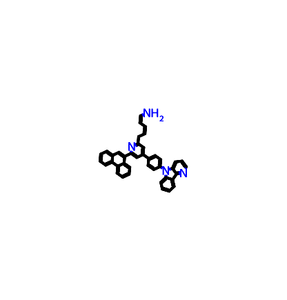 N/C=C\C=C/Cc1cc(-c2ccc(-n3c4ccccc4c4ncccc43)cc2)cc(-c2cc3ccccc3c3ccccc23)n1